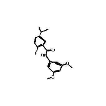 COc1cc(NC(=O)c2cc(C(C)C)ccc2F)cc(OC)c1